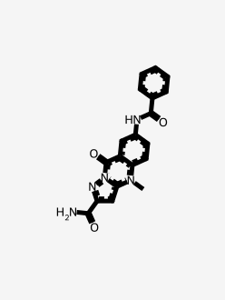 Cn1c2ccc(NC(=O)c3ccccc3)cc2c(=O)n2nc(C(N)=O)cc12